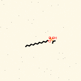 CCCCCCCCCCCCOP(=O)(O)C(C)C